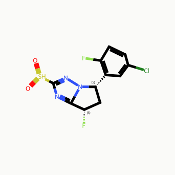 O=[SH](=O)c1nc2n(n1)[C@H](c1cc(Cl)ccc1F)C[C@@H]2F